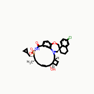 C[C@H]1C/C=C\[C@@H](O)[C@@H]2CC[C@H]2CN2C[C@@]3(CCCc4cc(Cl)ccc43)COc3ccc(cc32)C(=O)NS(=O)(=O)[C@H]1CC1CC1